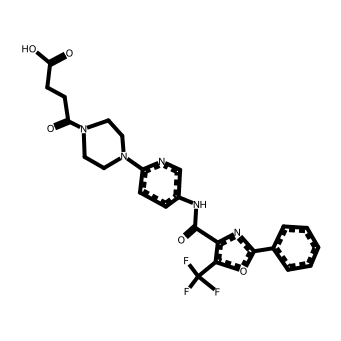 O=C(O)CCC(=O)N1CCN(c2ccc(NC(=O)c3nc(-c4ccccc4)oc3C(F)(F)F)cn2)CC1